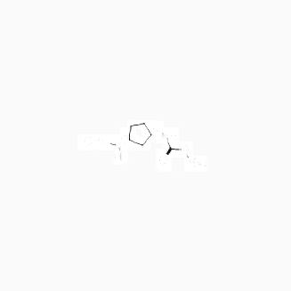 CC(C)(C)OC(=O)N[C@H]1CC[C@@H](NC=O)C1